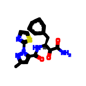 Cc1cc(C(=O)N[C@@H](Cc2ccccc2)C(=O)C(N)=O)n(-c2nccs2)n1